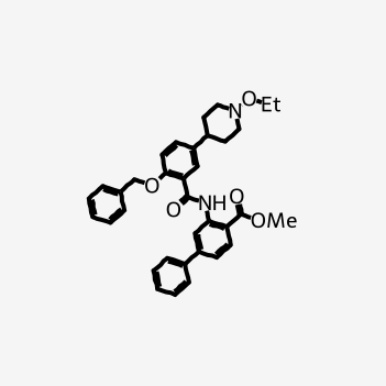 CCON1CCC(c2ccc(OCc3ccccc3)c(C(=O)Nc3cc(-c4ccccc4)ccc3C(=O)OC)c2)CC1